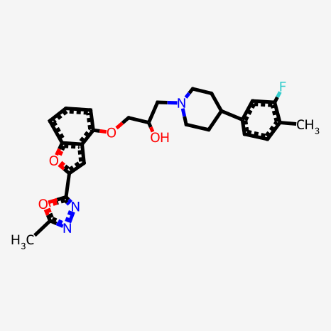 Cc1nnc(-c2cc3c(OCC(O)CN4CCC(c5ccc(C)c(F)c5)CC4)cccc3o2)o1